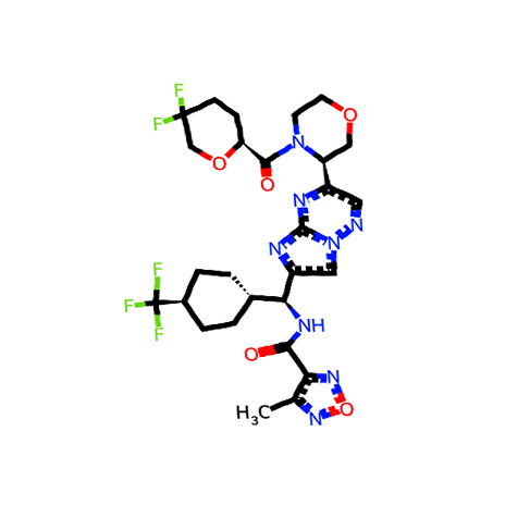 Cc1nonc1C(=O)N[C@H](c1cn2ncc([C@@H]3COCCN3C(=O)[C@@H]3CCC(F)(F)CO3)nc2n1)[C@H]1CC[C@H](C(F)(F)F)CC1